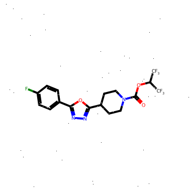 O=C(OC(C(F)(F)F)C(F)(F)F)N1CCC(c2nnc(-c3ccc(F)cc3)o2)CC1